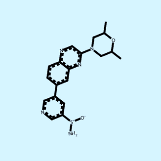 CC1CN(c2cnc3ccc(-c4cncc([S+](N)[O-])c4)cc3n2)CC(C)O1